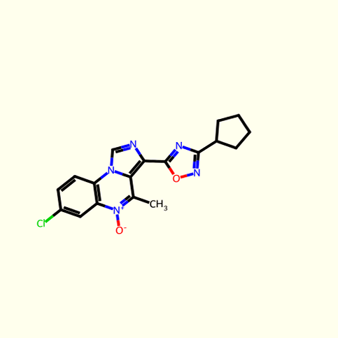 Cc1c2c(-c3nc(C4CCCC4)no3)ncn2c2ccc(Cl)cc2[n+]1[O-]